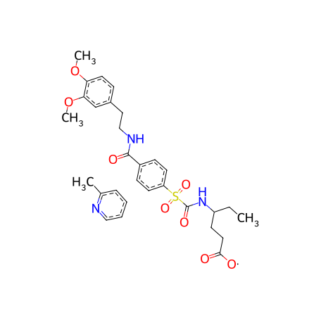 CCC(CCC([O])=O)NC(=O)S(=O)(=O)c1ccc(C(=O)NCCc2ccc(OC)c(OC)c2)cc1.Cc1ccccn1